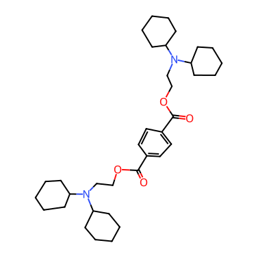 O=C(OCCN(C1CCCCC1)C1CCCCC1)c1ccc(C(=O)OCCN(C2CCCCC2)C2CCCCC2)cc1